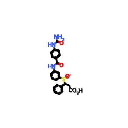 NC(=O)Nc1ccc(C(=O)Nc2cccc([S+]([O-])C(CC(=O)O)c3ccccc3)c2)cc1